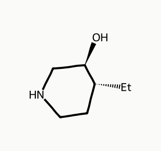 CC[C@@H]1CCNC[C@H]1O